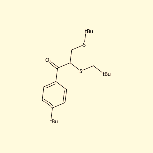 CC(C)(C)CSC(CSC(C)(C)C)C(=O)c1ccc(C(C)(C)C)cc1